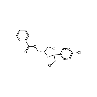 O=C(OC[C@@H]1COC(CCl)(c2ccc(Cl)cc2)O1)c1ccccc1